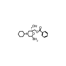 B[C@H]1CN(C2CCCCC2)C[C@@](CO)(COC(=O)c2ccccc2)O1